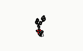 c1ccc([Si]2(c3ccc(-c4ccc(N(c5ccc(-c6cccc7ccccc67)cc5)c5cccc6ccccc56)cc4)cc3)c3ccccc3Oc3ccccc32)cc1